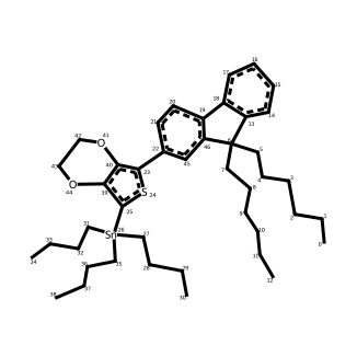 CCCCCCC1(CCCCCC)c2ccccc2-c2ccc(-c3s[c]([Sn]([CH2]CCC)([CH2]CCC)[CH2]CCC)c4c3OCCO4)cc21